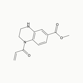 C=CC(=O)N1CCNc2cc(C(=O)OC)ccc21